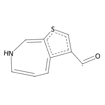 O=[C]c1csc2c1=CC=CNC=2